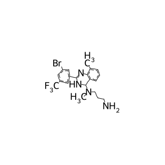 Cc1cccc2c1N=C(c1cc(Br)cc(C(F)(F)F)c1)NC2N(C)CCCN